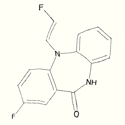 O=C1Nc2ccccc2N(/C=C/F)c2ccc(F)cc21